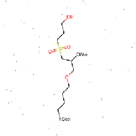 CCCCCCCCCCCCCCOCC(CS(=O)(=O)CCCO)OC